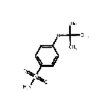 CCCCC(C)(C)Nc1ccc(S(N)(=O)=O)cc1